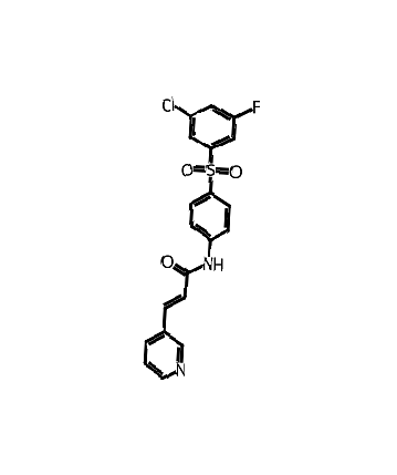 O=C(C=Cc1cccnc1)Nc1ccc(S(=O)(=O)c2cc(F)cc(Cl)c2)cc1